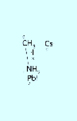 CN.[Cs].[I].[Pb]